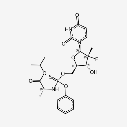 CC(C)OC(=O)[C@@H](C)NP(=S)(OC[C@H]1O[C@@H](n2ccc(=O)[nH]c2=O)[C@](C)(F)[C@@H]1O)Oc1ccccc1